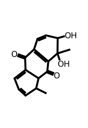 CC1C=CC=C2C(=O)C3=C(C(=O)C21)C(C)(O)C(O)C=C3